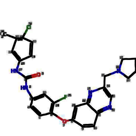 O=C(Nc1ccc(Oc2ccc3ncc(CN4CCCC4)nc3c2)c(F)c1)Nc1ccc(Cl)c(C(F)(F)F)c1